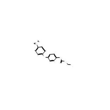 COCNC(=O)Nc1ccc(Oc2ccc([N+](=O)[O-])cc2)cc1